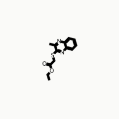 CCOC(=O)CSc1nc2ccccc2nc1C